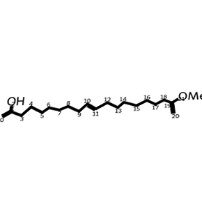 C=C(O)CCCCCCC/C=C/CCCCCCCC(=C)OC